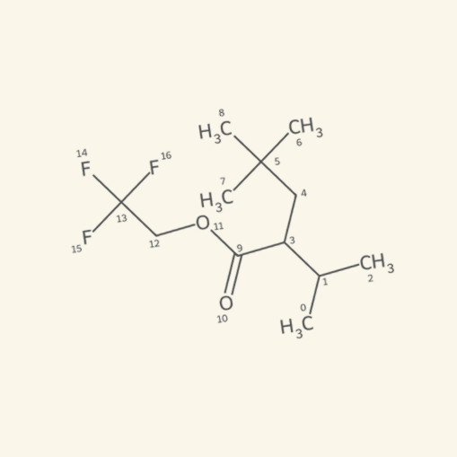 CC(C)C(CC(C)(C)C)C(=O)OCC(F)(F)F